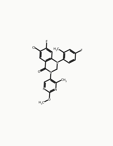 COc1ncc(N2CN(c3ccc(F)cc3C)c3cc(F)c(Cl)cc3C2=O)c(C)n1